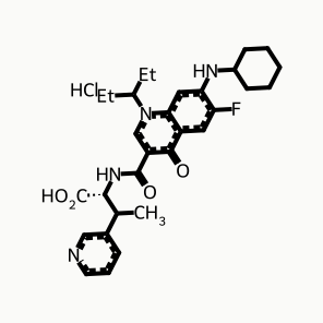 CCC(CC)n1cc(C(=O)N[C@@H](C(=O)O)C(C)c2cccnc2)c(=O)c2cc(F)c(NC3CCCCC3)cc21.Cl